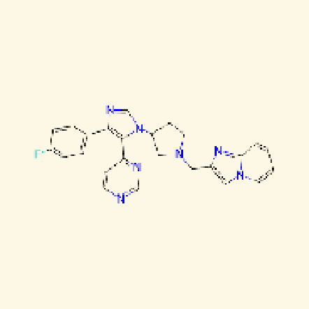 Fc1ccc(-c2ncn(C3CCN(Cc4cn5ccccc5n4)C3)c2-c2ccncn2)cc1